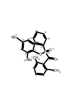 Cc1cccc(C)c1C(=O)P(=O)(Oc1ccc(C(C)(C)C)cc1C(C)(C)C)c1ccccc1